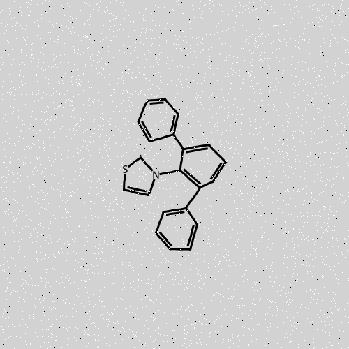 [CH]1SC=CN1c1c(-c2ccccc2)cccc1-c1ccccc1